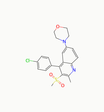 Cc1nc2ccc(N3CCOCC3)cc2c(-c2ccc(Cl)cc2)c1S(C)(=O)=O